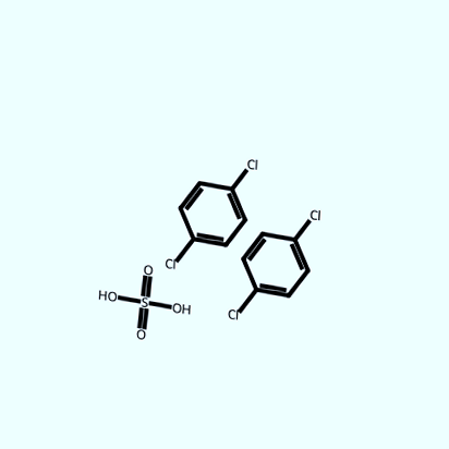 Clc1ccc(Cl)cc1.Clc1ccc(Cl)cc1.O=S(=O)(O)O